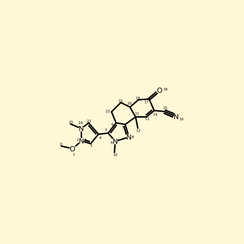 CO[n+]1cc(-c2c3c(nn2C)C2(C)C=C(C#N)C(=O)CC2CC3)cn1C